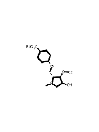 CCOC(=O)[C@H]1CC[C@H](OC[C@@H]2[C@@H](OCC)[C@@H](O)CN2C)CC1